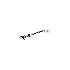 CCCCCCCCCCCCCCCCCCCCCCCCCCCCOC(=O)C1CCSC1